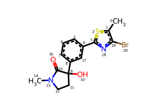 Cc1sc(-c2cccc(C3(O)CCN(C)C3=O)c2)nc1Br